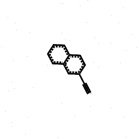 [C]#Cc1ccc2ccccc2c1